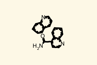 NC(=O)c1ccnc2ccccc12.c1ccc2ncccc2c1